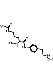 NC(=O)NCCCC(NC=O)C(=O)Nc1ccc(CCNC=O)cc1